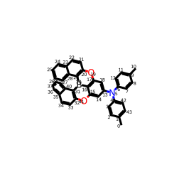 Cc1ccc(N(c2ccc(C)cc2)c2cc3c4c(c2)Oc2ccc5ccccc5c2B4c2c(ccc4ccccc24)O3)cc1